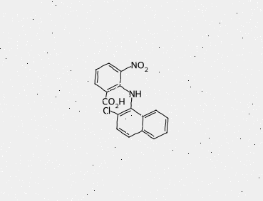 O=C(O)c1cccc([N+](=O)[O-])c1Nc1c(Cl)ccc2ccccc12